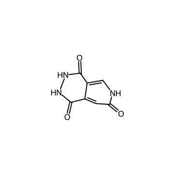 O=c1cc2c(=O)[nH][nH]c(=O)c2c[nH]1